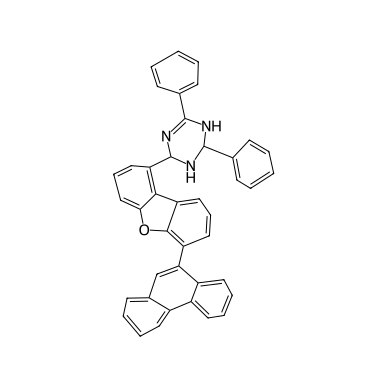 c1ccc(C2=NC(c3cccc4oc5c(-c6cc7ccccc7c7ccccc67)cccc5c34)NC(c3ccccc3)N2)cc1